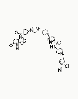 N#Cc1ccc(CN2CCC(NC(=O)c3ccc(N4CCC(CN5CCN(c6ccc7c(c6)C(=O)N(C6CCC(=O)NC6=O)C7=O)CC5)CC4)nn3)CC2)cc1Cl